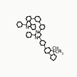 CC1(C)c2ccccc2-c2ccc(-c3ccc(-c4cc(-c5cccc(-c6cccc(-c7cccc8c(-c9ccccc9)nc9ccccc9c78)c6)c5)nc(-c5ccccc5)n4)cc3)cc21